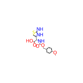 COc1ccc(COC(=O)NC(C(=O)O)c2csc(=N)[nH]2)cc1